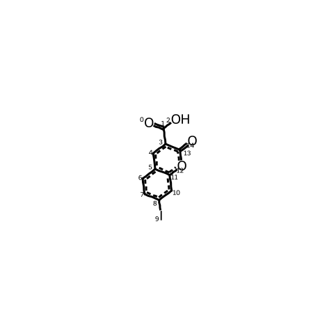 O=C(O)c1cc2ccc(I)cc2oc1=O